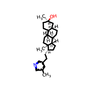 Cc1cncc(CC[C@H]2CC[C@H]3[C@@H]4CC[C@@H]5C[C@](C)(O)CC[C@@H]5[C@H]4CC[C@]23C)c1